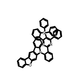 c1ccc(-c2nc(-c3ccccc3-n3c4ccccc4c4cc5c(cc43)oc3ccccc35)nc3c2[Si](c2ccccc2)(c2ccccc2)c2ccccc2-3)cc1